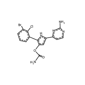 NC(=O)Oc1cc(-c2ccnc(N)n2)[nH]c1-c1cccc(Br)c1Cl